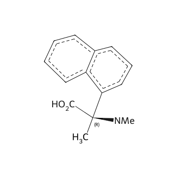 CN[C@@](C)(C(=O)O)c1cccc2ccccc12